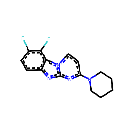 Fc1ccc2nc3nc(N4CCCCC4)ccn3c2c1F